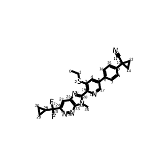 CCSc1cc(-c2ccc(C3(C#N)CC3)cc2)cnc1-c1nc2cc(C(F)(F)C3CC3)nnc2n1C